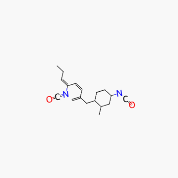 C=C(/C=C\C(=C/CC)N=C=O)CC1CCC(N=C=O)CC1C